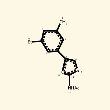 CCc1cc(C)cc(-c2csc(NC(C)=O)n2)c1